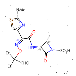 CCC(C=O)(CC)O/N=C(\C(=O)N[C@@H]1C(=O)N(S(=O)(=O)O)[C@H]1C)c1csc(NC)n1